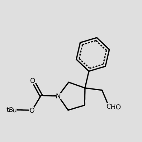 CC(C)(C)OC(=O)N1CCC(CC=O)(c2ccccc2)C1